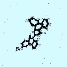 C=C1c2ccc(Br)cc2-c2ccccc2C1c1ccc2c3ccccc3c3ccccc3c2c1